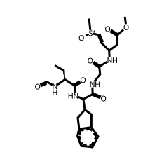 CC[C@H](NC=O)C(=O)NC(C(=O)NCC(=O)NC(/C=C/[S+](C)[O-])CC(=O)OC)C1Cc2ccccc2C1